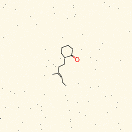 CCC=C(C)CCC1CCCCC1=O